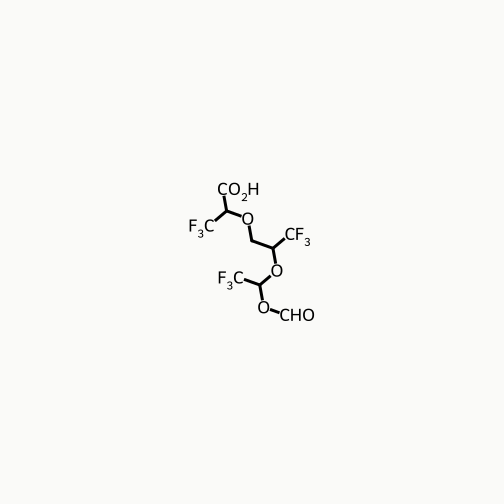 O=COC(OC(COC(C(=O)O)C(F)(F)F)C(F)(F)F)C(F)(F)F